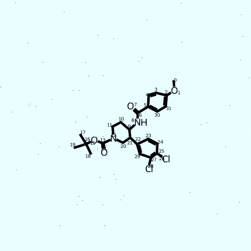 COc1ccc(C(=O)NC2CCN(C(=O)OC(C)(C)C)CC2c2ccc(Cl)c(Cl)c2)cc1